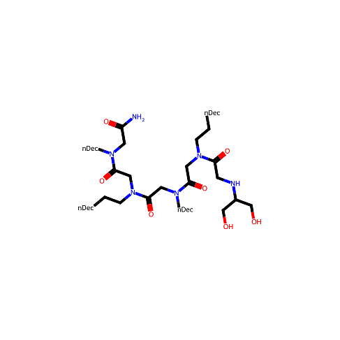 CCCCCCCCCCCCN(CC(=O)N(CCCCCCCCCC)CC(=O)N(CCCCCCCCCCCC)CC(=O)N(CCCCCCCCCC)CC(N)=O)C(=O)CNC(CO)CO